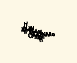 CNC1=Nc2cc(-n3cc([C@H]4CCCN4)cn3)c(Cl)cc2C12CCC2